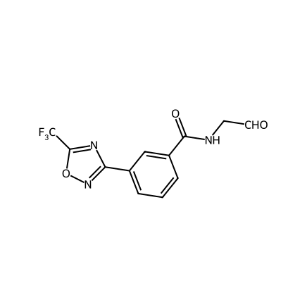 O=CCNC(=O)c1cccc(-c2noc(C(F)(F)F)n2)c1